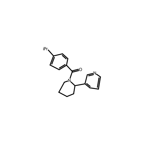 CC(C)c1ccc(C(=O)N2CCCCC2c2cccnc2)cc1